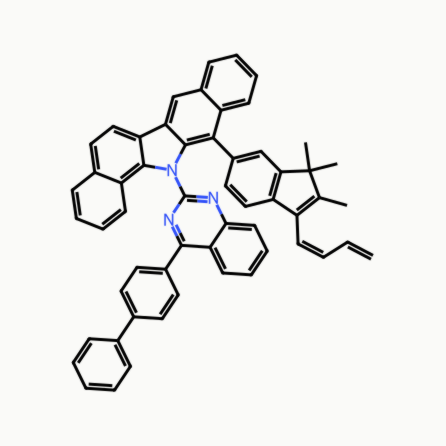 C=C/C=C\C1=C(C)C(C)(C)c2cc(-c3c4ccccc4cc4c5ccc6ccccc6c5n(-c5nc(-c6ccc(-c7ccccc7)cc6)c6ccccc6n5)c34)ccc21